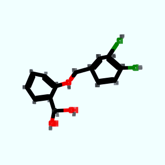 OB(O)c1ccccc1OCc1ccc(Cl)c(Cl)c1